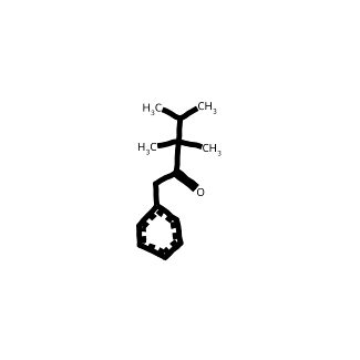 CC(C)C(C)(C)C(=O)Cc1ccccc1